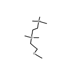 COCC[N+](C)(C)CC[N+](C)(C)C